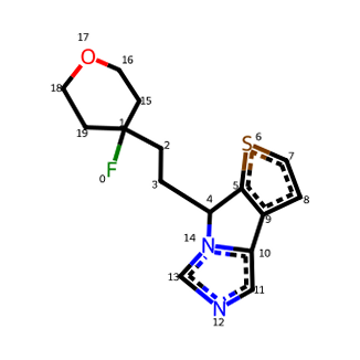 FC1(CCC2c3sccc3-c3cncn32)CCOCC1